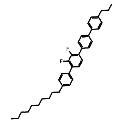 CCCCCCCCCCc1ccc(-c2ccc(-c3ccc(-c4ccc(CCC)cc4)cc3)c(F)c2F)cc1